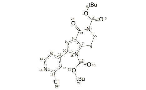 CC(C)(C)OC(=O)N1CCc2c(cc(-c3ccnc(Cl)c3)n2C(=O)OC(C)(C)C)C1=O